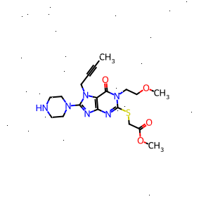 CC#CCn1c(N2CCNCC2)nc2nc(SCC(=O)OC)n(CCOC)c(=O)c21